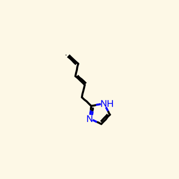 [CH]=CC=CCc1ncc[nH]1